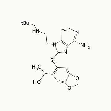 CC(O)c1cc2c(cc1Sc1nc3c(N)nccc3n1CCNCC(C)(C)C)OCO2